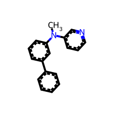 CN(c1cccnc1)c1cccc(-c2ccccc2)c1